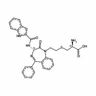 N[C@H](CSCCN1C(=O)[C@@H](NC(=O)c2cc3ccccc3[nH]2)N=C(c2ccccc2)c2ccccc21)C(=O)O